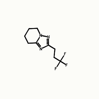 FC(F)(F)CCc1nc2n(n1)CCCC2